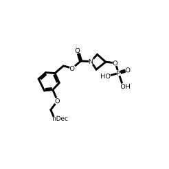 CCCCCCCCCCCOc1cccc(COC(=O)N2CC(OP(=O)(O)O)C2)c1